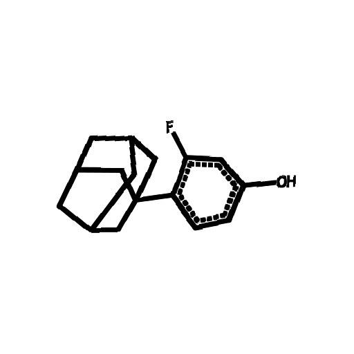 Oc1ccc(C23CC4CC(CC(C4)C2)C3)c(F)c1